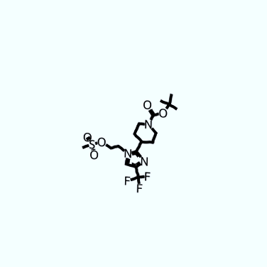 CC(C)(C)OC(=O)N1CCC(c2nc(C(F)(F)F)cn2CCOS(C)(=O)=O)CC1